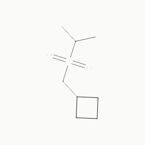 CC(C)S(=O)(=O)CC1CCC1